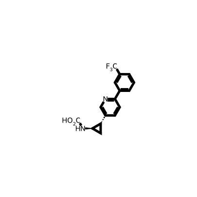 O=C(O)N[C@@H]1C[C@H]1c1ccc(-c2cccc(C(F)(F)F)c2)nc1